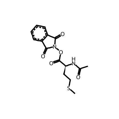 CSCC[C@H](NC(C)=O)C(=O)ON1C(=O)c2ccccc2C1=O